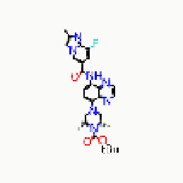 Cc1cn2cc(C(=O)Nc3ccc(N4C[C@@H](C)N(C(=O)OC(C)(C)C)[C@@H](C)C4)c4nccnc34)cc(F)c2n1